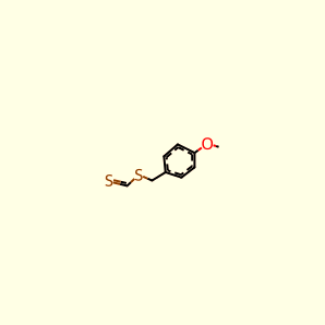 COc1ccc(CSC=S)cc1